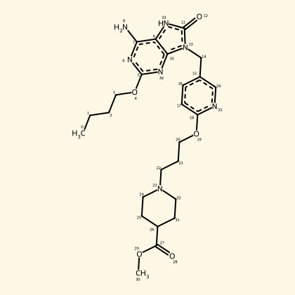 CCCCOc1nc(N)c2[nH]c(=O)n(Cc3ccc(OCCCN4CCC(C(=O)OC)CC4)nc3)c2n1